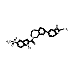 CCn1c(C(=O)N2CCOc3ccc(-c4ccc5nc(C)[nH]c5c4)cc3C2)cc2cc(S(C)(=O)=O)ccc21